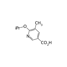 Cc1cc(C(=O)O)cnc1OC(C)C